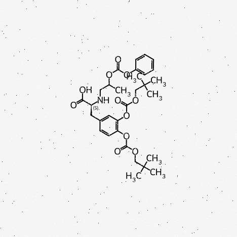 CC(CN[C@@H](Cc1ccc(OC(=O)OCC(C)(C)C)c(OC(=O)OCC(C)(C)C)c1)C(=O)O)OC(=O)Oc1ccccc1